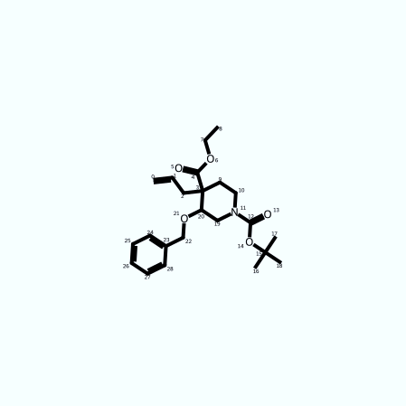 C=CCC1(C(=O)OCC)CCN(C(=O)OC(C)(C)C)CC1OCc1ccccc1